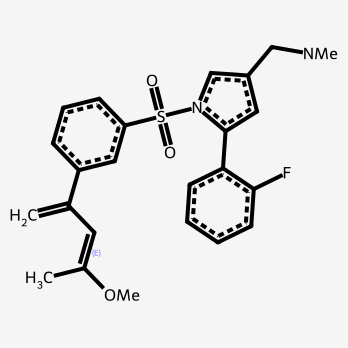 C=C(/C=C(\C)OC)c1cccc(S(=O)(=O)n2cc(CNC)cc2-c2ccccc2F)c1